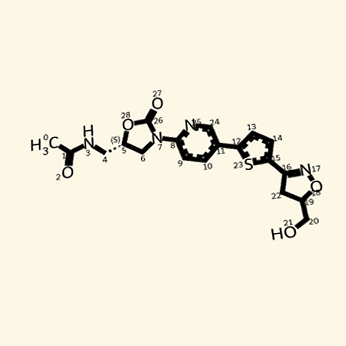 CC(=O)NC[C@H]1CN(c2ccc(-c3ccc(C4=NOC(CO)C4)s3)cn2)C(=O)O1